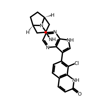 N[C@H]1C[C@H]2CC[C@@H](C1)N2c1cnc2c(-c3ccc4ccc(=O)[nH]c4c3Cl)c[nH]c2n1